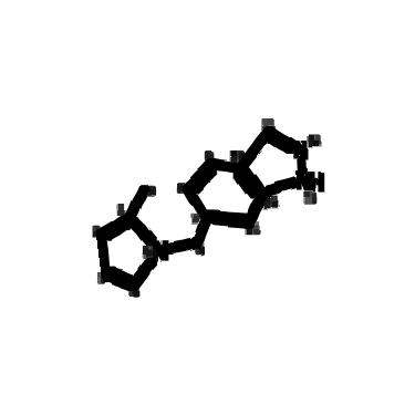 Cc1c[c]cn1Cc1ccc2cn[nH]c2c1